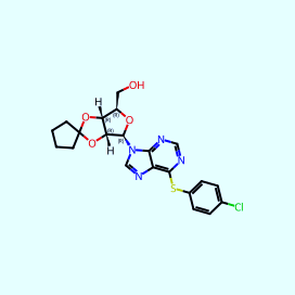 OC[C@H]1O[C@@H](n2cnc3c(Sc4ccc(Cl)cc4)ncnc32)[C@@H]2OC3(CCCC3)O[C@@H]21